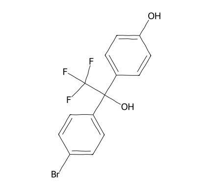 Oc1ccc(C(O)(c2ccc(Br)cc2)C(F)(F)F)cc1